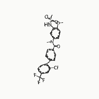 COc1ccc(N(C)C(=O)c2ccc(-c3ccc(C(F)(F)F)cc3Cl)cc2)cc1NS(C)(=O)=O